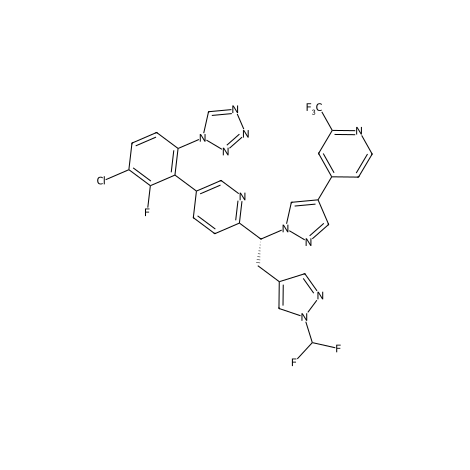 Fc1c(Cl)ccc(-n2cnnn2)c1-c1ccc([C@@H](Cc2cnn(C(F)F)c2)n2cc(-c3ccnc(C(F)(F)F)c3)cn2)nc1